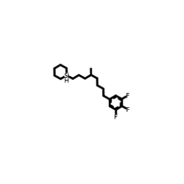 CC(CCCCc1cc(F)c(F)c(F)c1)CCC[SiH]1CCCCC1